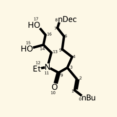 CCCCC=CC(CCCCCCCCCCCCCC)C(=O)N(CC)CC(O)CO